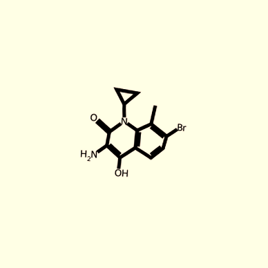 Cc1c(Br)ccc2c(O)c(N)c(=O)n(C3CC3)c12